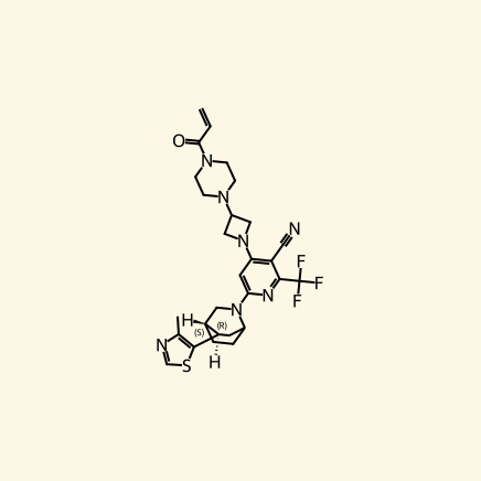 C=CC(=O)N1CCN(C2CN(c3cc(N4C[C@H]5CCC4C[C@H]5c4scnc4C)nc(C(F)(F)F)c3C#N)C2)CC1